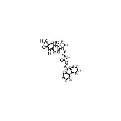 Cc1cn(CC(=O)N(CCNC(=O)OCC2c3ccccc3-c3ccccc32)CC(=O)O)c(=O)[nH]c1=O